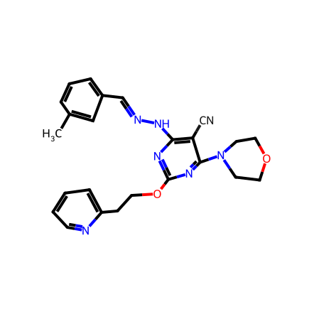 Cc1cccc(C=NNc2nc(OCCc3ccccn3)nc(N3CCOCC3)c2C#N)c1